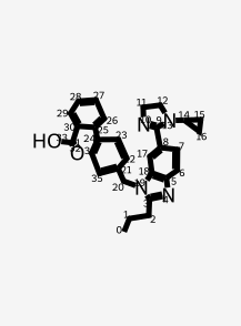 CCCc1nc2ccc(C3=NCCN3C3CC3)cc2n1Cc1ccc(-c2ccccc2C(=O)O)cc1